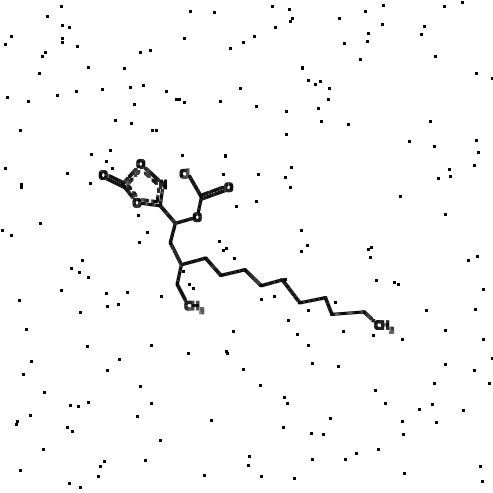 CCCCCCCCCCC(CC)CC(OC(=O)Cl)c1noc(=O)o1